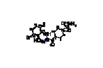 NS(=O)(=O)N1CCC(C(=O)/C(=N/O)Nc2cc(Br)ccc2F)CC1